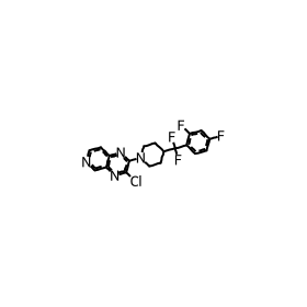 Fc1ccc(C(F)(F)C2CCN(c3nc4ccncc4nc3Cl)CC2)c(F)c1